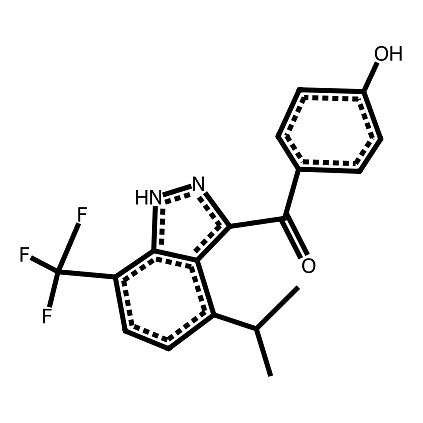 CC(C)c1ccc(C(F)(F)F)c2[nH]nc(C(=O)c3ccc(O)cc3)c12